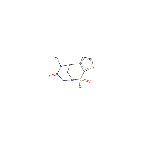 CCN1C(=O)CN2CC1c1ccsc1S2(=O)=O